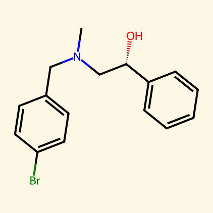 CN(Cc1ccc(Br)cc1)C[C@H](O)c1ccccc1